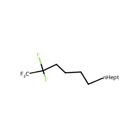 [CH2]CCCCCCCCCCC(F)(F)C(F)(F)F